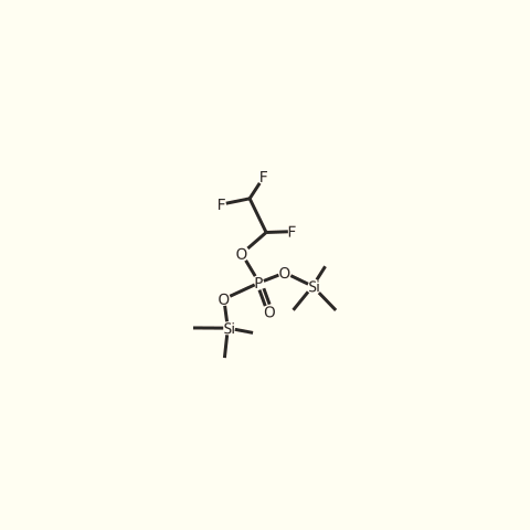 C[Si](C)(C)OP(=O)(OC(F)C(F)F)O[Si](C)(C)C